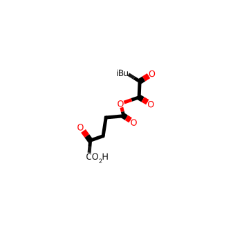 CCC(C)C(=O)C(=O)OC(=O)CCC(=O)C(=O)O